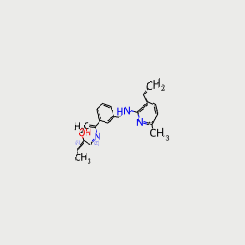 C=Cc1ccc(C)nc1NCc1cccc(C(=C)/N=C\C(O)=C/C)c1